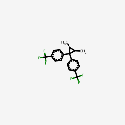 CC1[C@H](C)C1(c1ccc(C(F)(F)F)cc1)c1ccc(C(F)(F)F)cc1